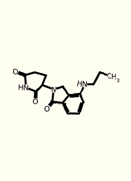 CCCNc1cccc2c1CN(C1CCC(=O)NC1=O)C2=O